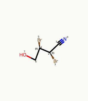 N#C[C@@H](Br)[C@H](Br)CO